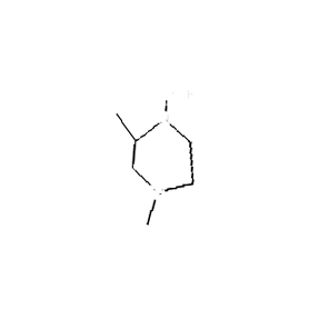 CCOC(=O)N1CCN(C)CC1C